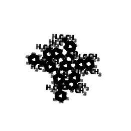 CC(C)(C)c1ccc2c(c1)C1C(O2)B2c3cc4c(cc3N(c3ccc5c(c3)C(C)(C)CCC5(C)C)c3cc(N(c5ccc(C(C)(C)c6ccccc6)cc5)c5ccc(C(C)(C)c6ccccc6)cc5)cc(c32)N1c1ccc2c(c1)C(C)(C)CCC2(C)C)C(C)(C)CCC4(C)C